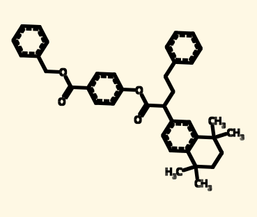 CC1(C)CCC(C)(C)c2cc(C(CCc3ccccc3)C(=O)Oc3ccc(C(=O)OCc4ccccc4)cc3)ccc21